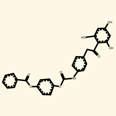 O=C(Nc1ccc(CC(=O)c2c(O)cc(O)cc2O)cc1)Oc1ccc(OC(=O)c2ccccc2)cc1